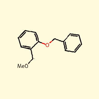 CO[CH]c1ccccc1OCc1ccccc1